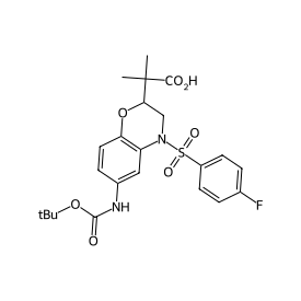 CC(C)(C)OC(=O)Nc1ccc2c(c1)N(S(=O)(=O)c1ccc(F)cc1)CC(C(C)(C)C(=O)O)O2